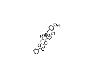 CCCCOC1CC2OC(c3ccccc3)OCC2OC1c1ccc(Cl)c(Cc2ccc(OCC)cc2)c1